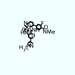 CNC(=O)c1ccc(-c2ccc3ncc(S(=O)(=O)Nc4cc(-c5cnn(C)c5)cnc4C=N)n3c2)cc1F